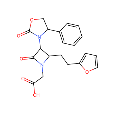 O=C(O)CN1C(=O)C(N2C(=O)OCC2c2ccccc2)C1CCc1ccco1